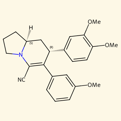 COc1cccc(C2=C(C#N)N3CCC[C@H]3C[C@@H]2c2ccc(OC)c(OC)c2)c1